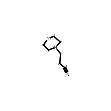 N#CCCN1CC[N]CC1